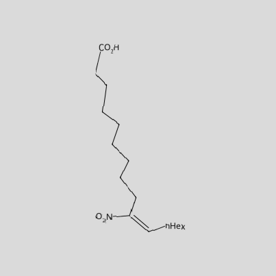 CCCCCCC=C(CCCCCCCCC(=O)O)[N+](=O)[O-]